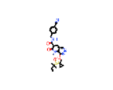 C=CC(C)(C)[S+]([O-])C1(COc2nncc3cc(C(=O)NCc4ccc(C#N)cc4)c(=O)n(C)c23)CC1